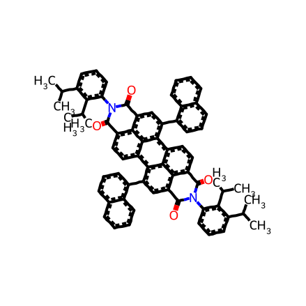 CC(C)c1cccc(N2C(=O)c3ccc4c5c(-c6cccc7ccccc67)cc6c7c(ccc(c8c(-c9cccc%10ccccc9%10)cc(c3c48)C2=O)c75)C(=O)N(c2cccc(C(C)C)c2C(C)C)C6=O)c1C(C)C